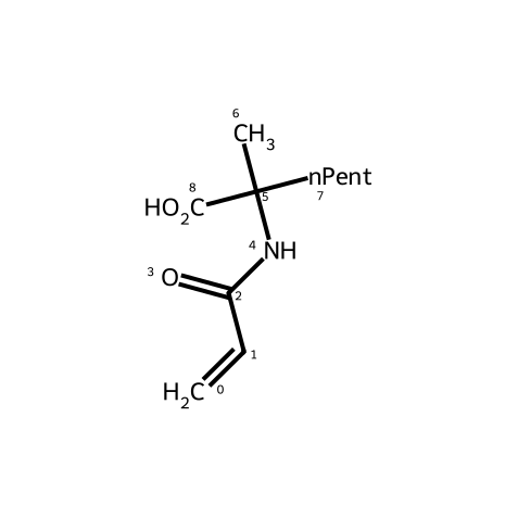 C=CC(=O)NC(C)(CCCCC)C(=O)O